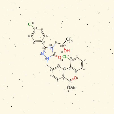 COC(=O)c1ccc(Cn2nc(-c3ccc(Cl)cc3)n(C[C@H](O)C(F)(F)F)c2=O)cc1-c1ccccc1Cl